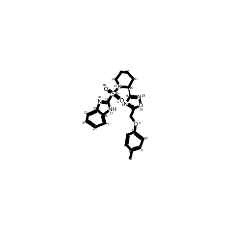 [CH2]c1ccc(OCc2nc([C@@H]3CCCCN3S(=O)(=O)c3nc4ccccc4[nH]3)no2)cc1